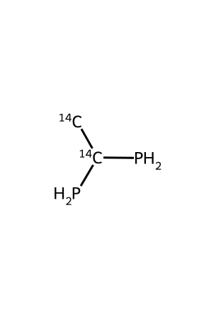 [14CH3][14CH](P)P